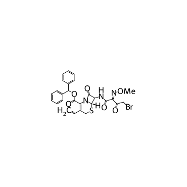 C=CC1=C(C(=O)OC(c2ccccc2)c2ccccc2)N2C(=O)C(NC(=O)C(=NOC)C(=O)CBr)[C@@H]2SC1